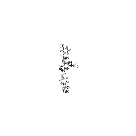 CC(C)(C)OC(=O)N1CCN(CCn2ncc3/c(=N/NCc4cccc(Cl)c4)[nH]c(N)nc32)CC1